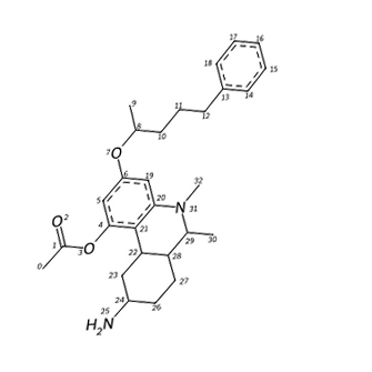 CC(=O)Oc1cc(OC(C)CCCc2ccccc2)cc2c1C1CC(N)CCC1C(C)N2C